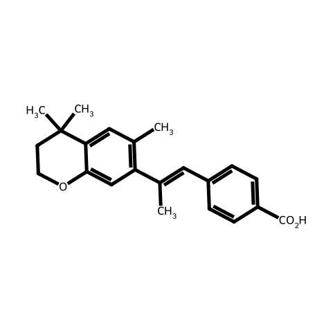 CC(=Cc1ccc(C(=O)O)cc1)c1cc2c(cc1C)C(C)(C)CCO2